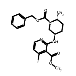 COC(=O)c1c(I)ccnc1N[C@@H]1CC[C@@H](C)N(C(=O)OCc2ccccc2)C1